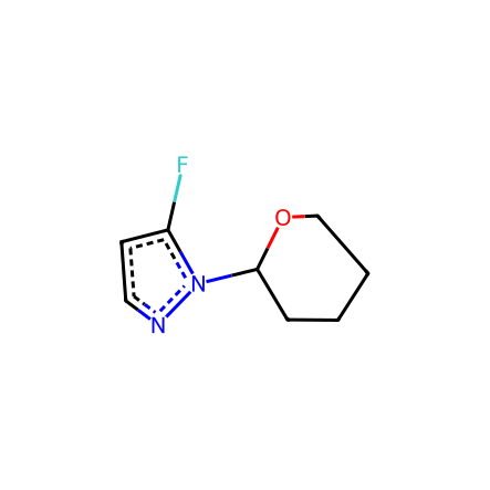 Fc1ccnn1C1CCCCO1